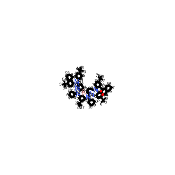 CC(C)(C)c1ccc(N(c2ccc3c(n2)N(c2ccccc2)c2cc(C(C)(C)C)cc4c2B3c2ccc(N(c3ccc(C(C)(C)C)cc3)c3ccc(C(C)(C)C)c5ccccc35)nc2N4c2ccccc2)c2ccc(C(C)(C)C)cc2-c2cccc3ccccc23)cc1